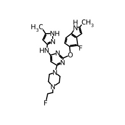 Cc1cc(Nc2cc(N3CCN(CCF)CC3)nc(Oc3ccc4[nH]c(C)cc4c3F)n2)n[nH]1